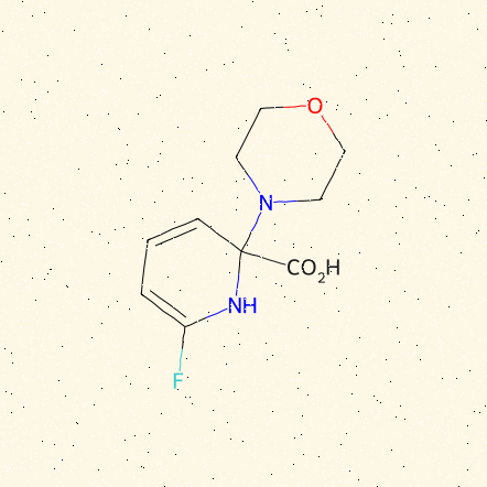 O=C(O)C1(N2CCOCC2)C=CC=C(F)N1